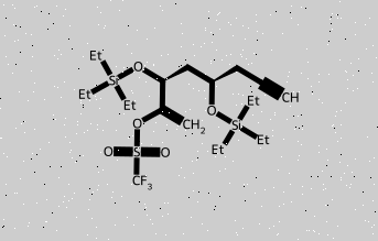 C#CC[C@H](C[C@H](O[Si](CC)(CC)CC)C(=C)OS(=O)(=O)C(F)(F)F)O[Si](CC)(CC)CC